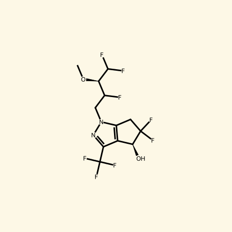 CO[C@@H](C(F)F)C(F)Cn1nc(C(F)(F)F)c2c1CC(F)(F)[C@H]2O